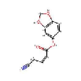 N#C[Se]/C=C\C(=O)Oc1ccc2c(c1)OCO2